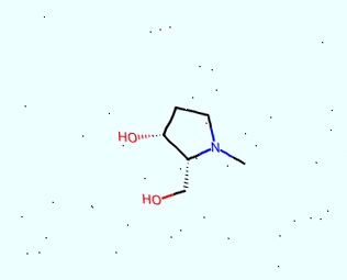 CN1CC[C@@H](O)[C@H]1CO